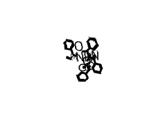 CC[C@H](NC(=O)c1c(OS(=O)(=O)Cc2ccccc2)c(-c2ccccc2)nc2ccccc12)c1ccccc1